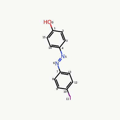 Oc1ccc(N=Nc2ccc(I)cc2)cc1